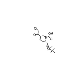 CC(C)(C)[Si](C)(C)OC[C@@H]1CC=C(C(=O)CCl)CN1C(=O)O